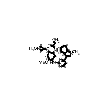 C=CC(=O)Nc1cc(Nc2nccc(-c3cn(C)c4ccccc34)n2)c(OC)cc1OC1CN(C)C1